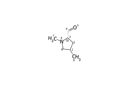 CC1C[C@@H](C=O)N(C)C1